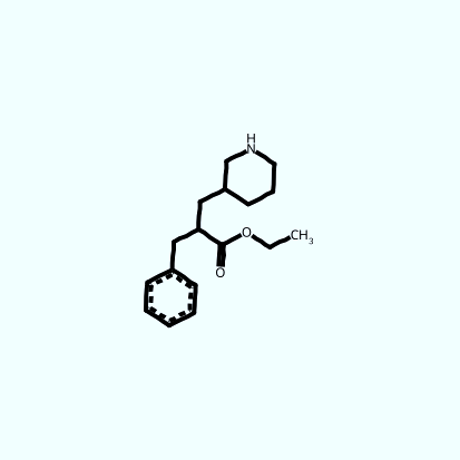 CCOC(=O)C(Cc1ccccc1)CC1CCCNC1